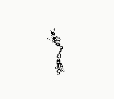 CC1(C)[C@H](NC(=O)c2ccc(N3CCC(CCN4CCN(c5ccc6c(=O)n([C@H]7CCC(=O)NC7=O)ncc6c5)CC4)C3)cc2)C(C)(C)[C@H]1Oc1ccc(C#N)c(Cl)c1